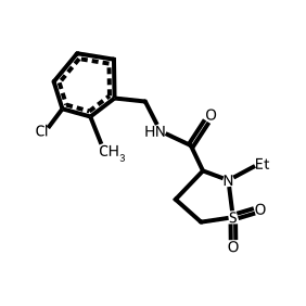 CCN1C(C(=O)NCc2cccc(Cl)c2C)CCS1(=O)=O